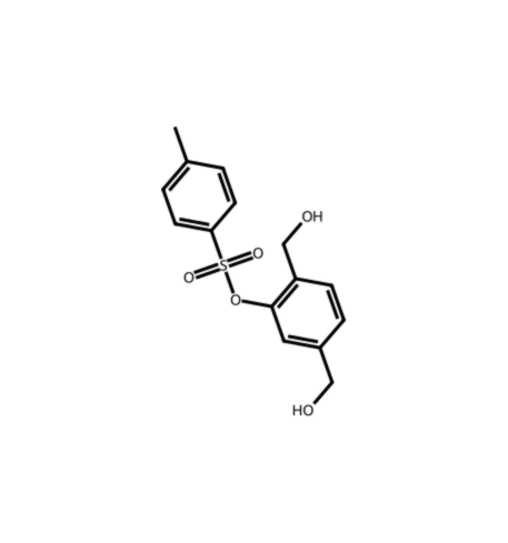 Cc1ccc(S(=O)(=O)Oc2cc(CO)ccc2CO)cc1